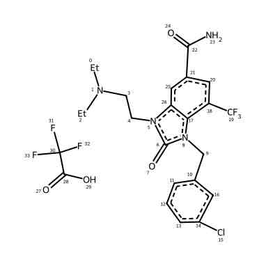 CCN(CC)CCn1c(=O)n(Cc2cccc(Cl)c2)c2c(C(F)(F)F)cc(C(N)=O)cc21.O=C(O)C(F)(F)F